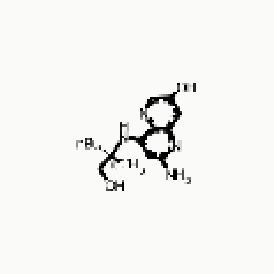 CCCC[C@](C)(CO)Nc1cc(N)nc2cc(O)cnc12